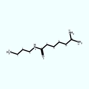 NCCCNC(=O)CCCCC(N)N